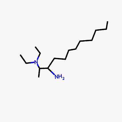 CCCCCCCCCC(N)C(C)N(CC)CC